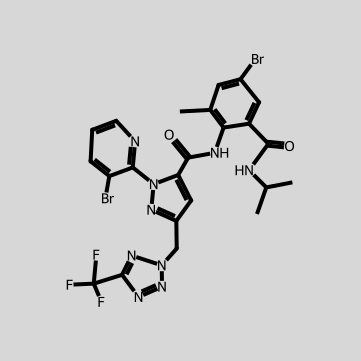 Cc1cc(Br)cc(C(=O)NC(C)C)c1NC(=O)c1cc(Cn2nnc(C(F)(F)F)n2)nn1-c1ncccc1Br